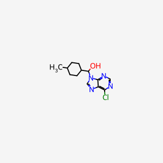 CC1CCC(C(O)n2cnc3c(Cl)ncnc32)CC1